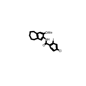 COc1cc2c(cc1NC(=O)c1ccc(Cl)cc1I)CCCCC2